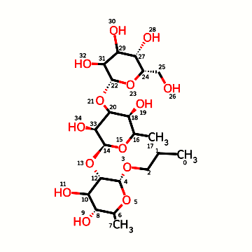 CCCO[C@@H]1OC(C)[C@H](O)C(O)[C@@H]1O[C@@H]1OC(C)[C@H](O)C(O[C@H]2O[C@@H](CO)[C@@H](O)C(O)C2O)[C@@H]1O